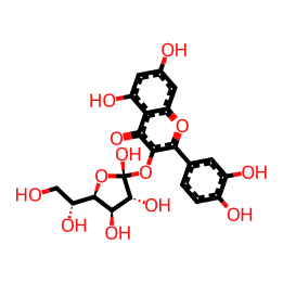 O=c1c(O[C@@]2(O)O[C@H]([C@H](O)CO)[C@H](O)[C@H]2O)c(-c2ccc(O)c(O)c2)oc2cc(O)cc(O)c12